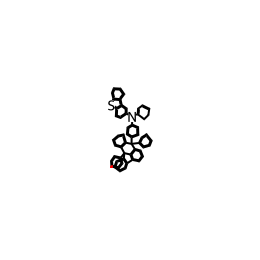 C1=CCCC(N(c2ccc(C3(c4ccccc4)c4ccccc4C4(c5ccccc5)c5ccccc5-c5cccc3c54)cc2)c2ccc3sc4ccccc4c3c2)=C1